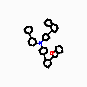 c1ccc(-c2cccc(N(c3ccc(-c4ccccc4-c4cc5ccccc5o4)cc3)c3ccc(-c4cccc5ccccc45)cc3)c2)cc1